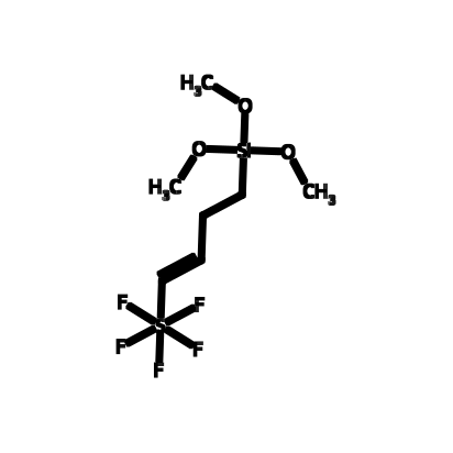 CO[Si](CCC=CS(F)(F)(F)(F)F)(OC)OC